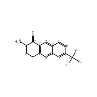 NC1CCc2nc3cc(C(F)(F)F)ccc3cc2C1=O